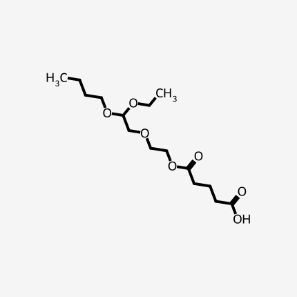 CCCCOC(COCCOC(=O)CCCC(=O)O)OCC